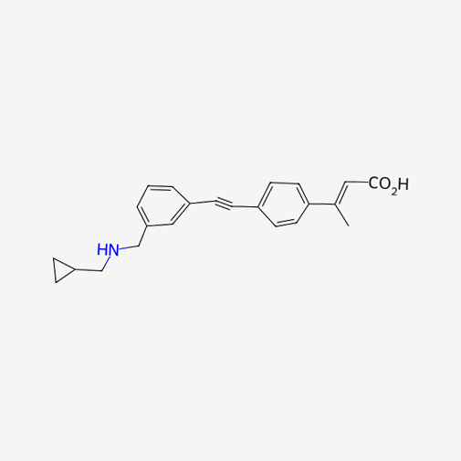 CC(=CC(=O)O)c1ccc(C#Cc2cccc(CNCC3CC3)c2)cc1